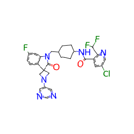 O=C(NC1CCC(CN2C(=O)C3(CN(c4cncnc4)C3)c3ccc(F)cc32)CC1)c1cc(Cl)cnc1C(F)F